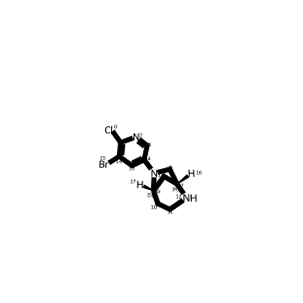 Clc1ncc(N2C[C@H]3C[C@@H]2CCN3)cc1Br